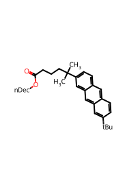 CCCCCCCCCCOC(=O)CCCC(C)(C)c1ccc2cc3ccc(C(C)(C)C)cc3cc2c1